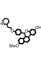 COc1ccc2c3c(ccc2c1)-c1ccc(O)cc1OC3c1ccc(OCCC2CCCCN2)cc1